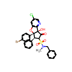 CN(Cc1ccccc1)S(=O)(=O)C1C(=O)[C@@]2(O)c3ncc(Cl)cc3O[C@@]2(c2ccc(Br)cc2)[C@@H]1c1ccccc1